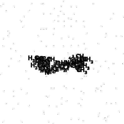 CC[C@H]1CC[C@@H](c2nc3ccc4cc5c(cc4c3[nH]2)OCc2cc(-c3cnc([C@@H]4CC[C@H](C)N4C(=O)[C@@H](NC(=O)OC)[C@@H](C)OC)[nH]3)ccc2-5)N1C(=O)[C@@H](NC(=O)OC)[C@@H](C)OC